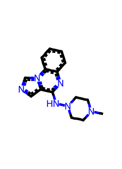 CN1CCN(Nc2nc3ccccc3n3cncc23)CC1